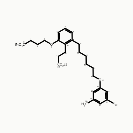 CCOC(=O)CCCOc1cccc(CCCCCCOc2cc(C)cc(I)c2)c1CCC(=O)OCC